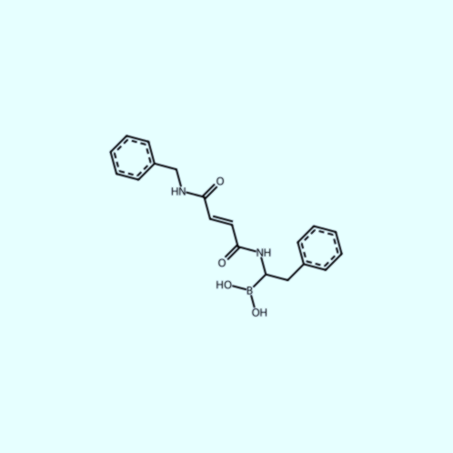 O=C(C=CC(=O)NC(Cc1ccccc1)B(O)O)NCc1ccccc1